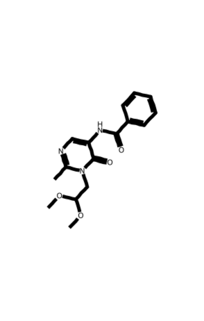 COC(Cn1c(C)ncc(NC(=O)c2ccccc2)c1=O)OC